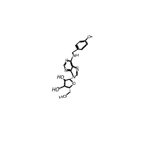 COc1ccc(CNc2ncnc3c2ncn3[C@@H]2O[C@H](CO)C(O)C2O)cc1